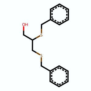 OCC(CSCc1ccccc1)SCc1ccccc1